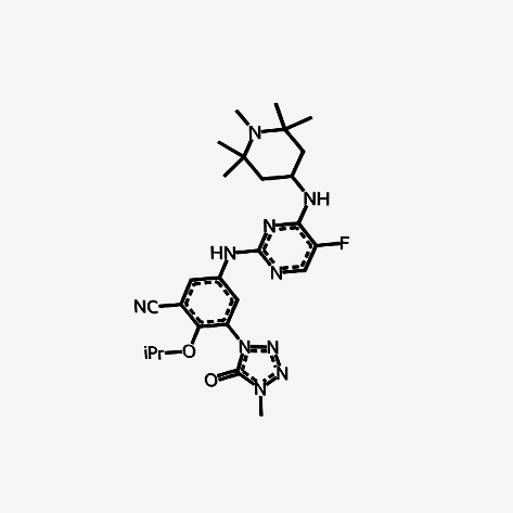 CC(C)Oc1c(C#N)cc(Nc2ncc(F)c(NC3CC(C)(C)N(C)C(C)(C)C3)n2)cc1-n1nnn(C)c1=O